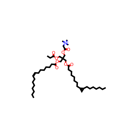 CCCCCCC/C=C\CCCCCCC(=O)OCC(COC(=O)CC)(COC(=O)CCCCCCCC1=CC1CCCCCCC)COC(=O)C[N+](C)(C)C